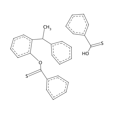 CC(c1ccccc1)c1ccccc1OC(=S)c1ccccc1.OC(=S)c1ccccc1